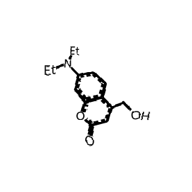 CCN(CC)c1ccc2c(CO)cc(=O)oc2c1